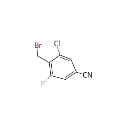 N#Cc1cc(F)c(CBr)c(Cl)c1